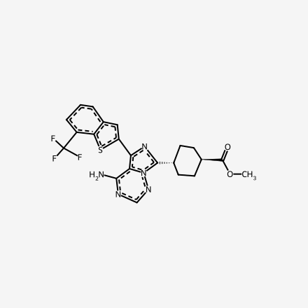 COC(=O)[C@H]1CC[C@H](c2nc(-c3cc4cccc(C(F)(F)F)c4s3)c3c(N)ncnn32)CC1